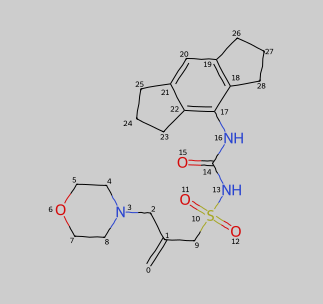 C=C(CN1CCOCC1)CS(=O)(=O)NC(=O)Nc1c2c(cc3c1CCC3)CCC2